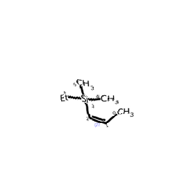 C/C=C\[Si](C)(C)CC